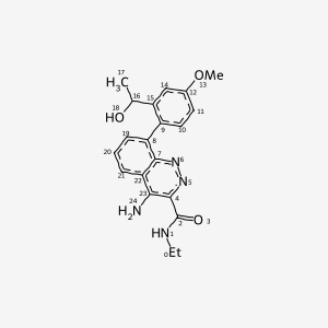 CCNC(=O)c1nnc2c(-c3ccc(OC)cc3C(C)O)cccc2c1N